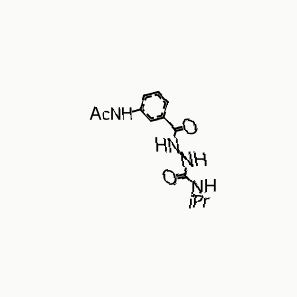 CC(=O)Nc1cccc(C(=O)NNC(=O)NC(C)C)c1